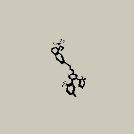 COC(=O)[C@@H]1CC[C@@]12CCCc1ccc(CCCc3ccc(-c4cc(C)ccc4F)c(C4=CCCC4(C)C)c3)cc12